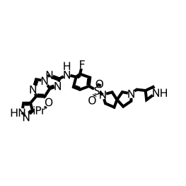 CC(C)Oc1c(-c2cn[nH]c2)ncn2nc(Nc3ccc(S(=O)(=O)N4CCC5(CCN(CC6CNC6)C5)C4)cc3F)nc12